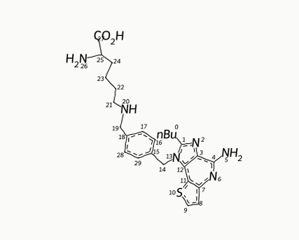 CCCCc1nc2c(N)nc3ccsc3c2n1Cc1ccc(CNCCCCC(N)C(=O)O)cc1